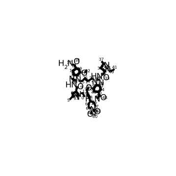 CCn1nc(C)cc1C(=O)Nc1nc2cc(C(N)=O)cc(OC)c2n1CC=CCn1c(NC(=O)c2cc(C)nn2CC)nc2cc(C(N)=O)cc(OCC#CC3CCN(S(C)(=O)=O)CC3)c21